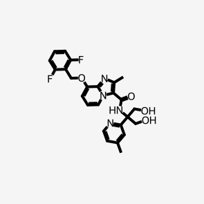 Cc1ccnc(C(CO)(CO)NC(=O)c2c(C)nc3c(OCc4c(F)cccc4F)cccn23)c1